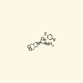 N[C@H]1C[C@@H](N2CC3COOCC3C2)CO[C@@H]1c1cc(F)ccc1F